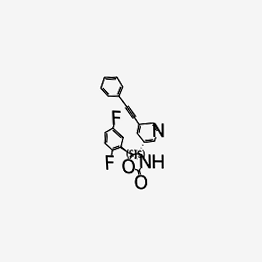 O=C1N[C@@H](c2cncc(C#Cc3ccccc3)c2)[C@H](c2cc(F)ccc2F)O1